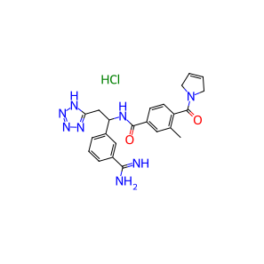 Cc1cc(C(=O)NC(Cc2nnn[nH]2)c2cccc(C(=N)N)c2)ccc1C(=O)N1CC=CC1.Cl